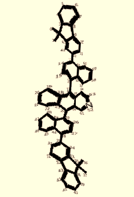 CC1(C)c2ccccc2-c2ccc(-c3ccc(-c4c5ccccc5c(-c5ccc(-c6ccc7c(c6)C(C)(C)c6ccccc6-7)c6ccccc56)c5cnccc45)c4ccccc34)cc21